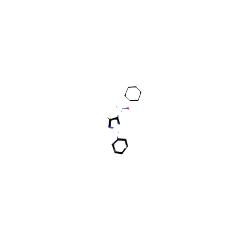 CCOC(=O)c1cn(-c2ccccc2)cc1NC(=O)[C@H]1CC[C@H](C)CC1